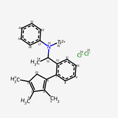 CC1=C(C)C(C)=C(c2ccccc2C(C)[N]([Ti+2])c2ccccc2)C1.[Cl-].[Cl-]